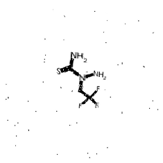 NC(=S)N(N)CC(F)(F)F